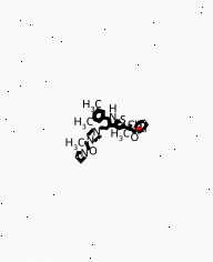 Cc1cc(C)cc(-c2[nH]c3sc(C(C)(C)C(=O)N4C5CCC4CC5)cc3c2CCN2CCN(C(C)C(=O)N3CCCC3)CC2)c1